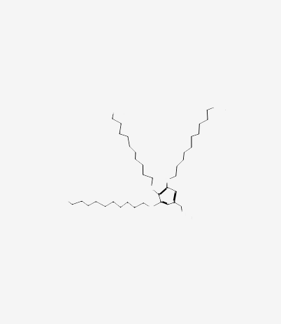 CCCCCCCCCCCSc1cc(CC)cc(SCCCCCCCCCCC)c1SCCCCCCCCCCC